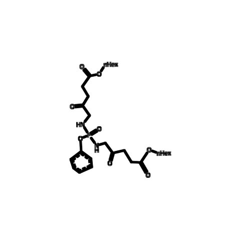 CCCCCCOC(=O)CCC(=O)CNP(=O)(NCC(=O)CCC(=O)OCCCCCC)Oc1ccccc1